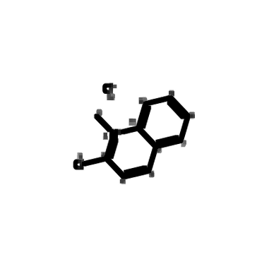 C[n+]1c(Cl)ccc2ccccc21.[Cl-]